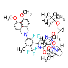 COc1ccc(CN(Cc2ccc(OC)cc2)c2cc(C)c(C(F)(F)F)c(-c3nc4c5c(nc(OCC6(CO[Si](C)(C)C(C)(C)C)CC6)nc5c3F)N3C[C@H]5CC[C@@H]([C@H]3[C@H](C)O4)N5C(=O)OC(C)(C)C)c2F)cc1